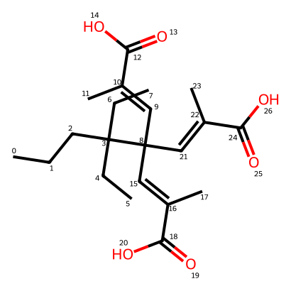 CCCC(CC)(CC)C(C=C(C)C(=O)O)(C=C(C)C(=O)O)C=C(C)C(=O)O